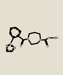 CC(C)(C)OC(=O)N1CCCN(C(=O)c2ccccc2-n2nccn2)CC1